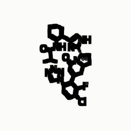 CC(C)C(=O)Nc1ccccc1-c1c[nH]c([C@@H]2CCC3CC(c4c(-n5cnnn5)ccc(Cl)c4F)=CC(=O)N32)n1